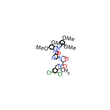 COc1ccc(CN(Cc2ccc(OC)cc2OC)c2nc3cncc(N4CCOCC(C(=O)N5CCc6cc(Cl)cc(Cl)c6[C@@H]5C)C4)c3o2)c(OC)c1